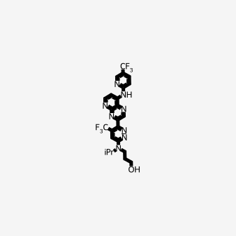 CC(C)N(CCCO)c1cc(C(F)(F)F)c(-c2cnc3c(Nc4ccc(C(F)(F)F)cn4)ccnc3n2)nn1